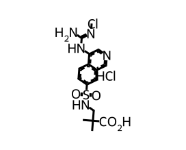 CC(C)(CNS(=O)(=O)c1ccc2c(NC(N)=NCl)cncc2c1)C(=O)O.Cl